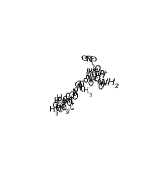 CCC[C@@H](C)[C@H]1O[C@]1(C)C[C@H](C)/C=C/C=C(\C)[C@H]1O[C@@H](CC(=O)O)C[C@@H](OC(=O)N2CCC(N(C)C(=O)OCc3ccc(NC(=O)[C@@H](CCCNC(N)=O)NC(=O)[C@H](NC(=O)CCCCCN4C(=O)C=CC4=O)C(C)C)cc3)C2)[C@@H]1C